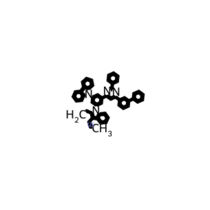 C=Cc1c(/C=C\C)c2ccccc2n1-c1cc(-c2cc(-c3cccc(-c4ccccc4)c3)nc(-c3ccccc3)n2)cc(-n2c3ccccc3c3ccccc32)c1